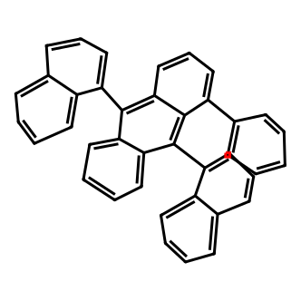 c1ccc(-c2cccc3c(-c4cccc5ccccc45)c4ccccc4c(-c4cccc5ccccc45)c23)cc1